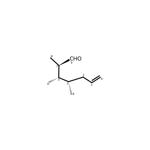 C=CC[C@H](C)[C@H](C)[C@@H](C)C=O